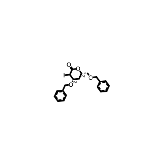 O=C1O[C@H](COCc2ccccc2)C[C@H](OCc2ccccc2)C1I